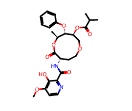 COc1ccnc(C(=O)N[C@H]2CCOC[C@H](OC(=O)C(C)C)[C@@H](Oc3ccccc3)[C@H](C)OC2=O)c1O